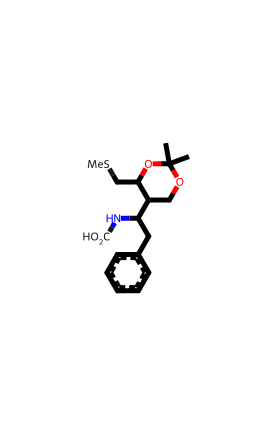 CSCC1OC(C)(C)OCC1C(Cc1ccccc1)NC(=O)O